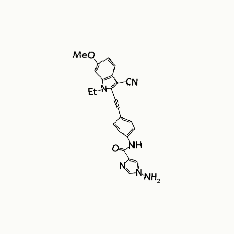 CCn1c(C#Cc2ccc(NC(=O)c3cn(N)cn3)cc2)c(C#N)c2ccc(OC)cc21